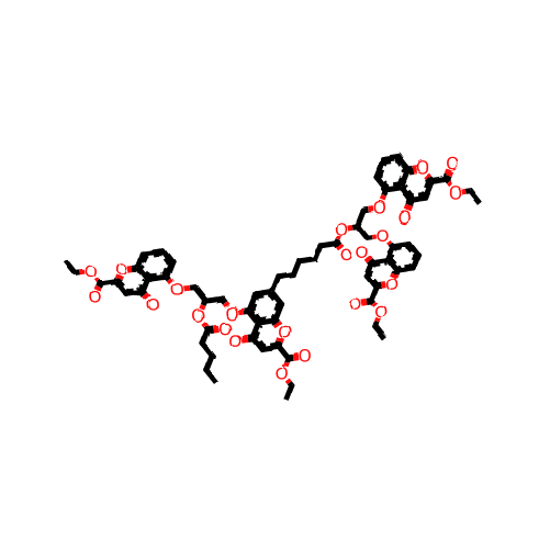 CCCCC(=O)OC(COc1cccc2oc(C(=O)OCC)cc(=O)c12)COc1cc(CCCCCC(=O)OC(COc2cccc3oc(C(=O)OCC)cc(=O)c23)COc2cccc3oc(C(=O)OCC)cc(=O)c23)cc2oc(C(=O)OCC)cc(=O)c12